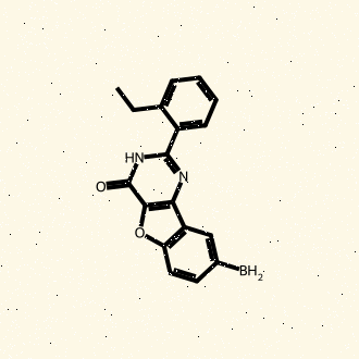 Bc1ccc2oc3c(=O)[nH]c(-c4ccccc4CC)nc3c2c1